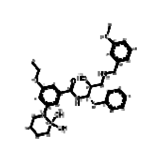 CCOc1cc(C(=O)N[C@@H](Cc2ccccc2)[C@@H](O)CNCc2cccc(OC)c2)cc(N2CCCCS2(O)O)c1